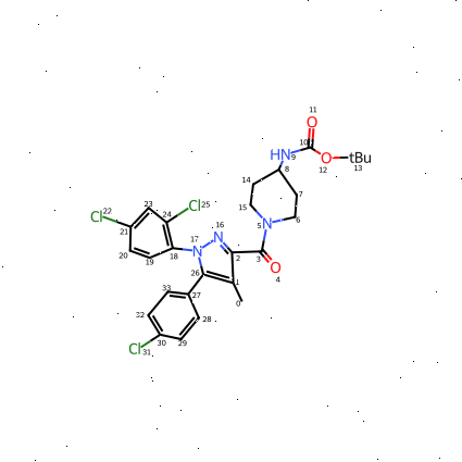 Cc1c(C(=O)N2CCC(NC(=O)OC(C)(C)C)CC2)nn(-c2ccc(Cl)cc2Cl)c1-c1ccc(Cl)cc1